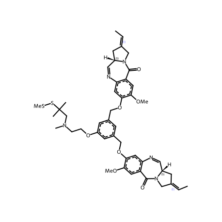 C/C=C1\C[C@H]2C=Nc3cc(OCc4cc(COc5cc6c(cc5OC)C(=O)N5C/C(=C/C)C[C@H]5C=N6)cc(OCCN(C)CC(C)(C)SSC)c4)c(OC)cc3C(=O)N2C1